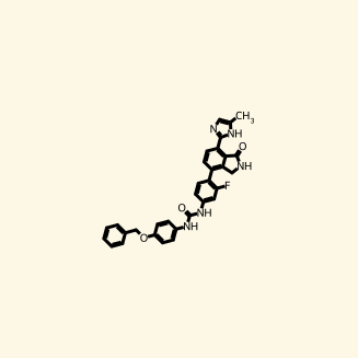 Cc1cnc(-c2ccc(-c3ccc(NC(=O)Nc4ccc(OCc5ccccc5)cc4)cc3F)c3c2C(=O)NC3)[nH]1